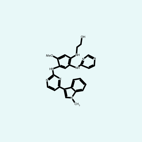 COc1cc(NCCO)c(Nc2ccncn2)cc1Nc1nccc(-c2cn(C)c3ccccc23)n1